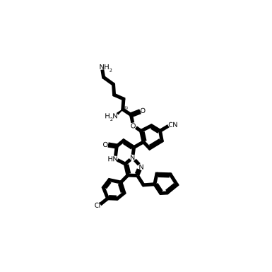 N#Cc1ccc(-c2cc(=O)[nH]c3c(-c4ccc(Cl)cc4)c(Cc4ccccc4)nn23)c(OC(=O)[C@@H](N)CCCCN)c1